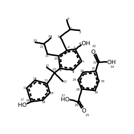 CC(C)Cc1c(O)ccc(C(C)(C)c2ccc(O)cc2)c1CC(C)C.O=C(O)c1ccc(C(=O)O)cc1